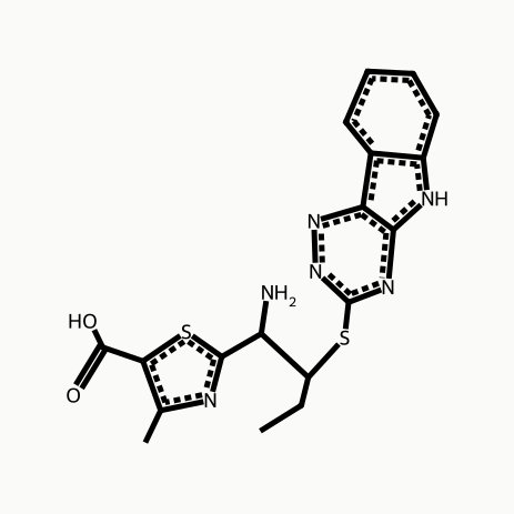 CCC(Sc1nnc2c(n1)[nH]c1ccccc12)C(N)c1nc(C)c(C(=O)O)s1